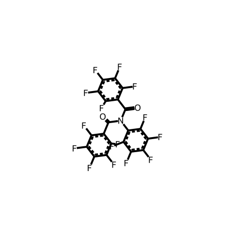 O=C(c1c(F)c(F)c(F)c(F)c1F)N(C(=O)c1c(F)c(F)c(F)c(F)c1F)c1c(F)c(F)c(F)c(F)c1F